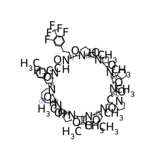 CCC[C@H]1C(=O)N[C@@H]([C@@H](C)CC)C(=O)N2CCC[C@H]2C(=O)N(C)[C@H]2C/C=C\CCN(C2=O)[C@@H](Cc2ccc(C)cc2)C(=O)N(C)CC(=O)N[C@@H](CCc2cc(F)c(C(F)(F)F)c(F)c2)C(=O)N2CCC[C@H]2C(=O)N(C)C2(CCC2)C(=O)N(C)[C@@H](C2CCCC2)C(=O)N(C)[C@H](C(=O)N2CCCC2)CC(=O)N1C